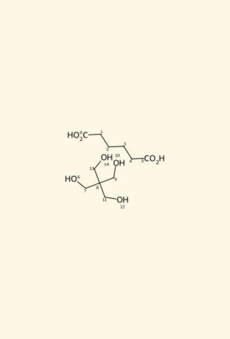 O=C(O)CCCCC(=O)O.OCC(CO)(CO)CO